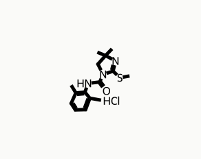 CSC1=NC(C)(C)CN1C(=O)Nc1c(C)cccc1C.Cl